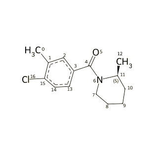 Cc1cc(C(=O)N2CCCC[C@@H]2C)ccc1Cl